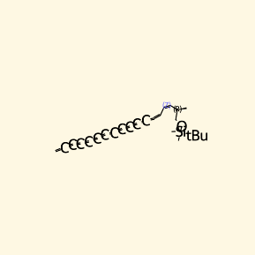 C=C=C=C=C=C=C=C=C=C=C=C=C=C/C=C\[C@@H](C)CO[Si](C)(C)C(C)(C)C